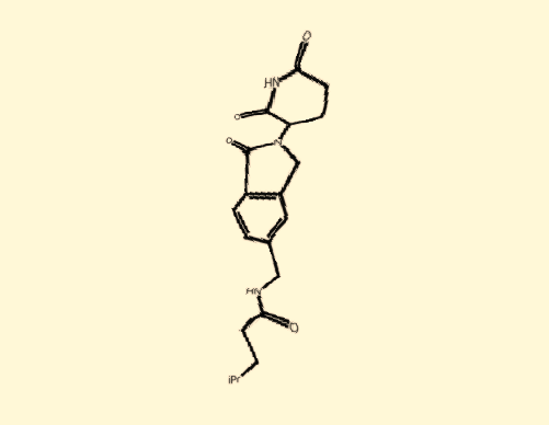 CC(C)C[CH]C(=O)NCc1ccc2c(c1)CN(C1CCC(=O)NC1=O)C2=O